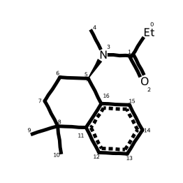 CCC(=O)N(C)[C@@H]1CCC(C)(C)c2ccccc21